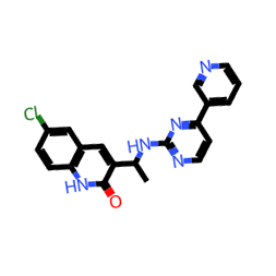 CC(Nc1nccc(-c2cccnc2)n1)c1cc2cc(Cl)ccc2[nH]c1=O